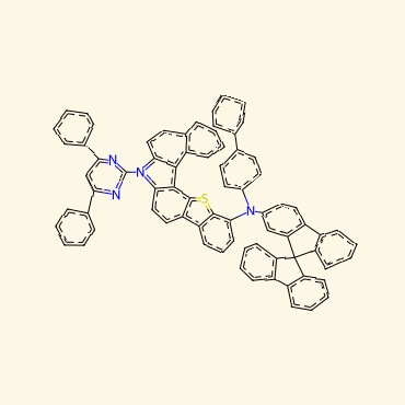 c1ccc(-c2ccc(N(c3ccc4c(c3)C3(c5ccccc5-c5ccccc53)c3ccccc3-4)c3cccc4c3sc3c4ccc4c3c3c5ccccc5ccc3n4-c3nc(-c4ccccc4)cc(-c4ccccc4)n3)cc2)cc1